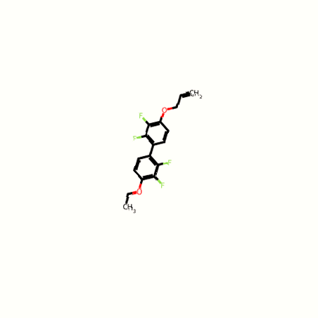 C=CCOc1ccc(-c2ccc(OCC)c(F)c2F)c(F)c1F